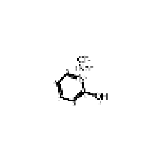 Oc1ccccn1.[Cl-].[Na+]